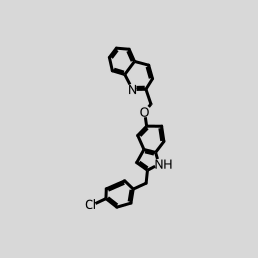 Clc1ccc(Cc2cc3cc(OCc4ccc5ccccc5n4)ccc3[nH]2)cc1